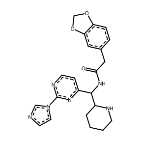 O=C(Cc1ccc2c(c1)OCO2)NC(c1ccnc(-n2ccnc2)n1)C1CCCCN1